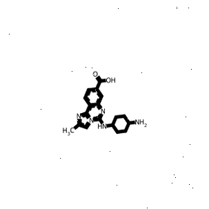 Cc1cn2c(NC3CCC(N)CC3)nc3cc(C(=O)O)ccc3c2n1